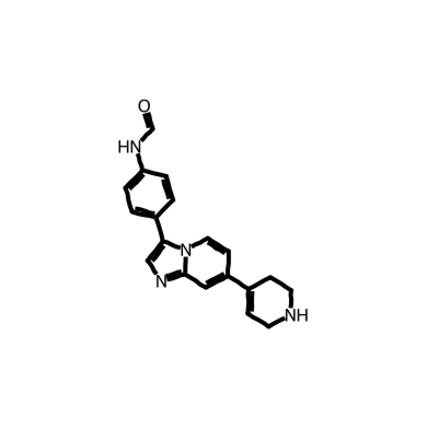 O=CNc1ccc(-c2cnc3cc(C4=CCNCC4)ccn23)cc1